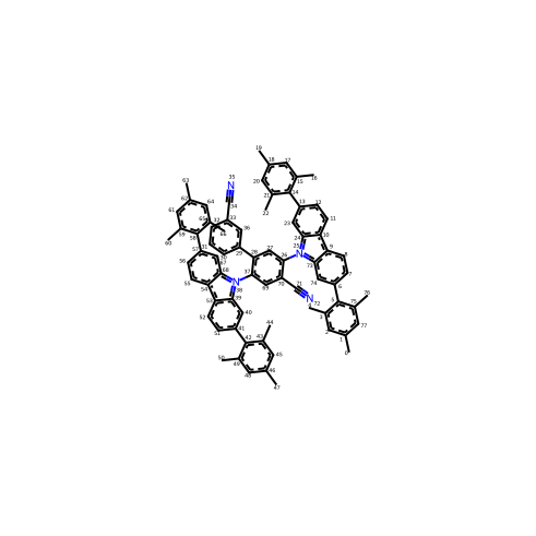 Cc1cc(C)c(-c2ccc3c4ccc(-c5c(C)cc(C)cc5C)cc4n(-c4cc(-c5cccc(C#N)c5)c(-n5c6cc(-c7c(C)cc(C)cc7C)ccc6c6ccc(-c7c(C)cc(C)cc7C)cc65)cc4C#N)c3c2)c(C)c1